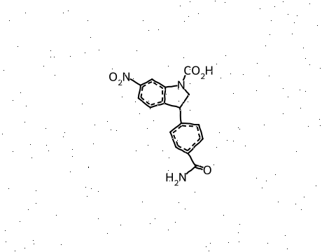 NC(=O)c1ccc(C2CN(C(=O)O)c3cc([N+](=O)[O-])ccc32)cc1